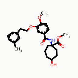 COC(=O)C1(NC(=O)c2ccc(OC)c(OCCc3cccc(C)c3)c2)CCCC(O)CC1